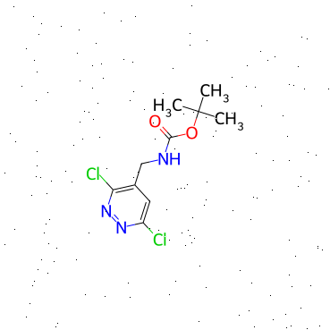 CC(C)(C)OC(=O)NCc1cc(Cl)nnc1Cl